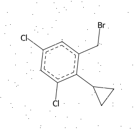 Clc1[c]c(CBr)c(C2CC2)c(Cl)c1